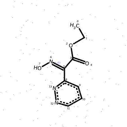 CCOC(=O)/C(=N/O)c1cccnn1